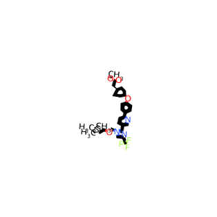 COC(=O)C[C@H]1CC[C@H](Oc2ccc(-c3ccc(-c4nc(C(F)(F)F)cn4COCC[Si](C)(C)C)cn3)cc2)CC1